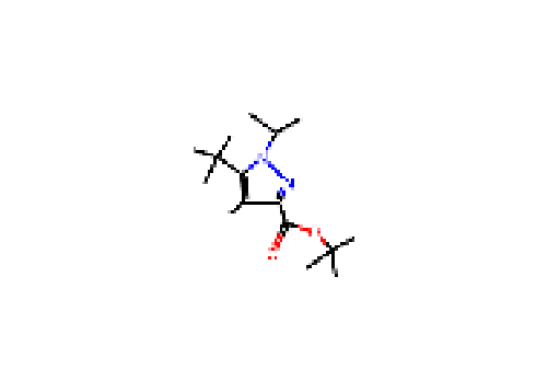 Cc1c(C(=O)OC(C)(C)C)nn(C(C)C)c1C(C)(C)C